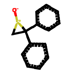 [O-][S+]1CC1(c1ccccc1)c1ccccc1